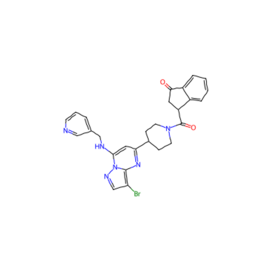 O=C1CC(C(=O)N2CCC(c3cc(NCc4cccnc4)n4ncc(Br)c4n3)CC2)c2ccccc21